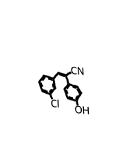 N#CC(=Cc1cccc(Cl)c1)c1ccc(O)cc1